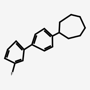 Fc1cccc(-c2ccc(C3CCCCCC3)cc2)c1